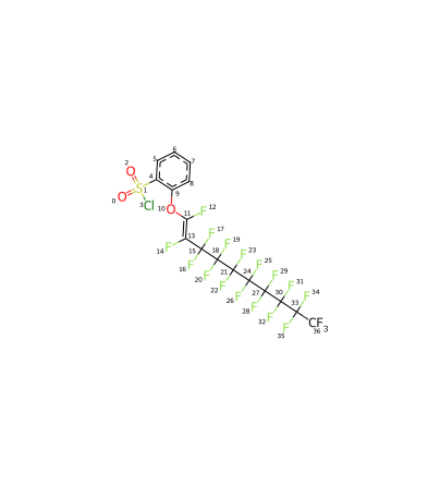 O=S(=O)(Cl)c1ccccc1OC(F)=C(F)C(F)(F)C(F)(F)C(F)(F)C(F)(F)C(F)(F)C(F)(F)C(F)(F)C(F)(F)F